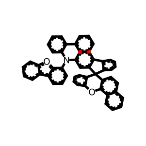 c1ccc(-c2ccccc2N(c2ccc3c(c2)C2(c4ccccc4Oc4c2ccc2ccccc42)c2ccccc2-3)c2cccc3c2oc2ccccc23)cc1